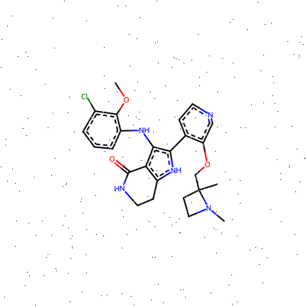 COc1c(Cl)cccc1Nc1c(-c2ccncc2OCC2(C)CCN2C)[nH]c2c1C(=O)NCC2